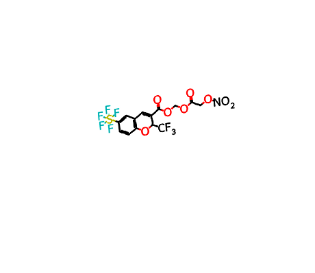 O=C(CO[N+](=O)[O-])OCOC(=O)C1=Cc2cc(S(F)(F)(F)(F)F)ccc2O[C@@H]1C(F)(F)F